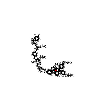 COC(=O)C(Cc1ccc(OCC(COS(=O)(=O)c2ccc(C)cc2)OC(C)=O)cc1)NC(=O)Cn1cc(COc2ccc3nc(S(=O)(=O)NC(c4ccccc4)(c4ccc(OC)cc4)c4ccc(OC)cc4)sc3c2)nn1